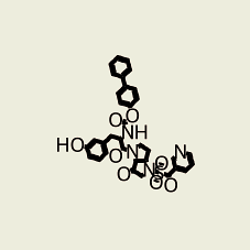 O=C(NC(Cc1cccc(O)c1)C(=O)N1CCC2C1C(=O)CN2S(=O)(=O)C(=O)c1cccnc1)Oc1ccc(-c2ccccc2)cc1